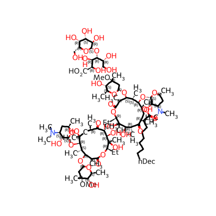 CCCCCCCCCCCCCCCCCC(=O)O[C@H]1[C@H](O[C@@H]2[C@@H](C)[C@H](O[C@H]3C[C@@](C)(OC)[C@@H](O)[C@H](C)O3)[C@@H](C)C(=O)O[C@H](CC)[C@@](C)(O)[C@H](O)[C@@H](C)C(=O)[C@H](C)C[C@@]2(C)O)O[C@H](C)C[C@@H]1N(C)C.CC[C@H]1OC(=O)[C@H](C)[C@@H](O[C@H]2C[C@@](C)(OC)[C@@H](O)[C@H](C)O2)[C@H](C)[C@@H](O[C@@H]2O[C@H](C)C[C@H](N(C)C)[C@H]2O)[C@](C)(O)C[C@@H](C)C(=O)[C@H](C)[C@@H](O)[C@]1(C)O.O=C(O)[C@H](O)[C@@H](O)[C@H](O[C@@H]1O[C@H](CO)[C@H](O)[C@H](O)[C@H]1O)[C@H](O)CO